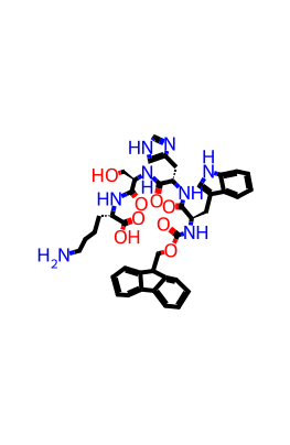 NCCCC[C@H](NC(=O)[C@@H](CO)NC(=O)[C@H](Cc1c[nH]cn1)NC(=O)[C@@H](Cc1c[nH]c2ccccc12)NC(=O)OCC1c2ccccc2-c2ccccc21)C(=O)O